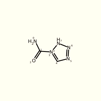 NC(=O)[n+]1cnn[nH]1